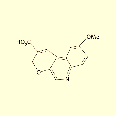 COc1ccc2ncc3c(c2c1)C=C(C(=O)O)CO3